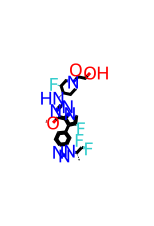 COc1nc(N[C@H]2CCN(C(=O)CO)C[C@H]2F)nn2cc(F)c(-c3ccc4nnn([C@@H](C)C(F)F)c4c3)c12